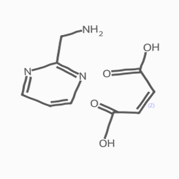 NCc1ncccn1.O=C(O)/C=C\C(=O)O